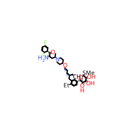 C=C/C(=C\C=C\OC1CCN(C2CO[C@H](C3C=C(F)C=CC3F)[C@@H](N)C2)CC1)Cc1cc([C@@H]2O[C@H](SC)[C@@H](O)[C@H](O)[C@H]2O)ccc1CC